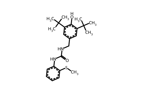 CSc1ccccc1NC(=O)NCc1cc(C(C)(C)C)c(O)c(C(C)(C)C)c1